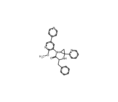 COc1ncc(-c2ccncc2)cc1NC(=O)C(Cc1ccccc1)NC1(c2ccccn2)CC1